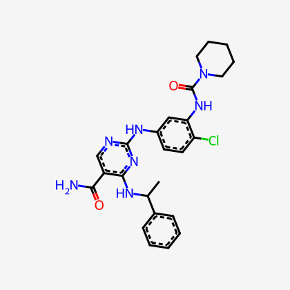 CC(Nc1nc(Nc2ccc(Cl)c(NC(=O)N3CCCCC3)c2)ncc1C(N)=O)c1ccccc1